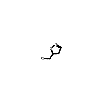 ClCC1C[C]=NO1